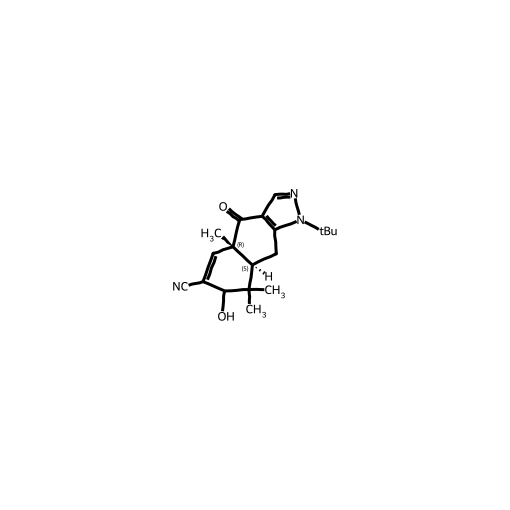 CC1(C)C(O)C(C#N)=C[C@]2(C)C(=O)c3cnn(C(C)(C)C)c3C[C@@H]12